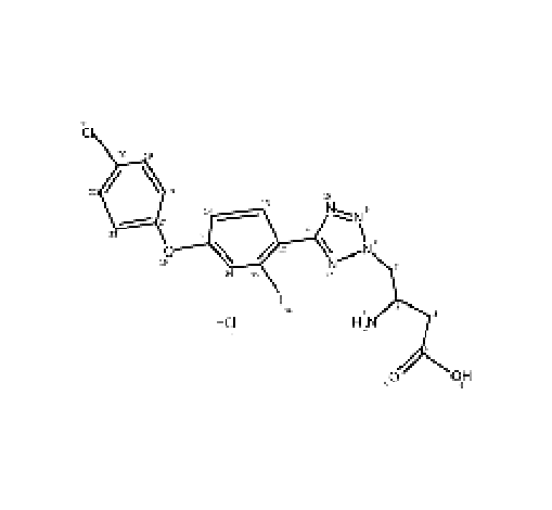 Cl.NC(CC(=O)O)Cn1nnc(-c2ccc(Oc3ccc(Cl)cc3)cc2F)n1